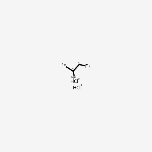 Cl.Cl.FCC(F)F